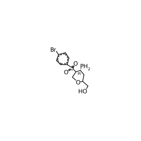 O=S(=O)(c1ccc(Br)cc1)C1COC(CO)C[C@H]1P